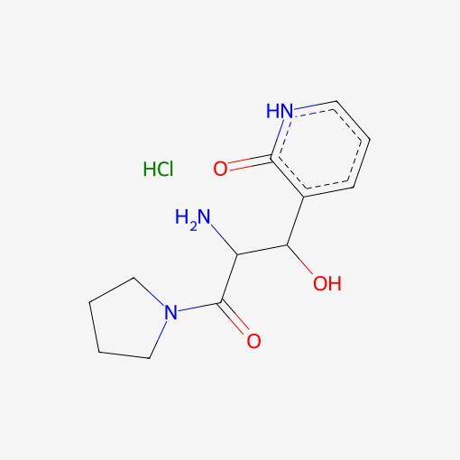 Cl.NC(C(=O)N1CCCC1)C(O)c1ccc[nH]c1=O